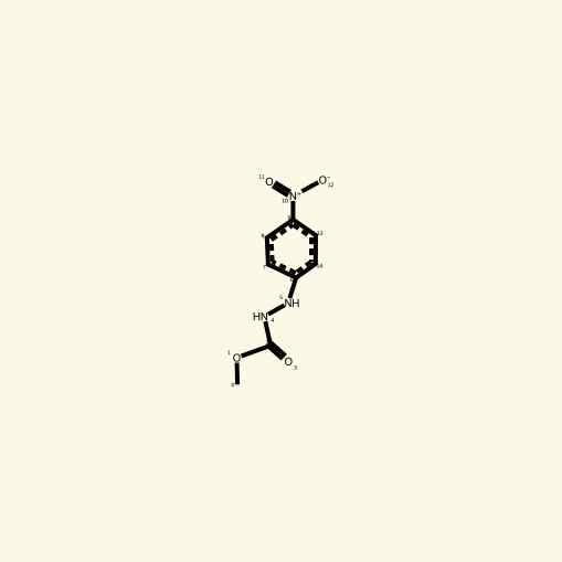 COC(=O)NNc1ccc([N+](=O)[O-])cc1